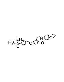 CN(C)C(=O)c1ccc(COc2ccc3c(c2)CCN(C2CCN(C4CCC4)CC2)C3=O)cc1